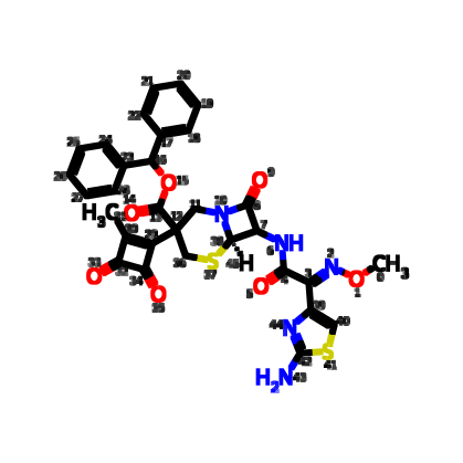 CON=C(C(=O)NC1C(=O)N2CC(C(=O)OC(c3ccccc3)c3ccccc3)(c3c(C)c(=O)c3=O)CS[C@H]12)c1csc(N)n1